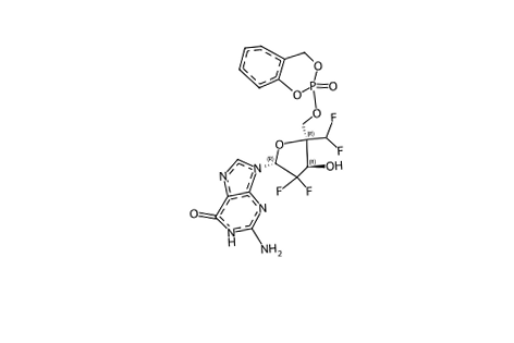 Nc1nc2c(ncn2[C@@H]2O[C@@](COP3(=O)OCc4ccccc4O3)(C(F)F)[C@@H](O)C2(F)F)c(=O)[nH]1